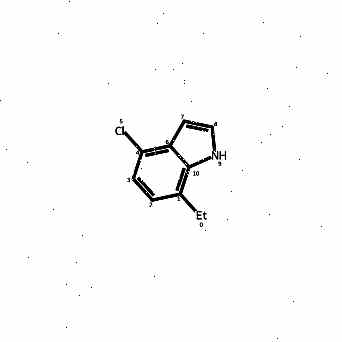 CCc1ccc(Cl)c2cc[nH]c12